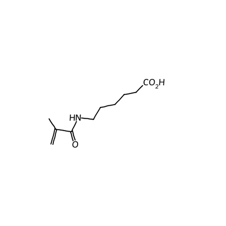 C=C(C)C(=O)NCCCCCC(=O)O